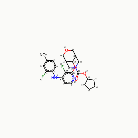 N#Cc1ccc(Nc2ccnc(OC3C4COCC3CN(C(=O)OC3CCCC3)C4)c2F)c(F)c1